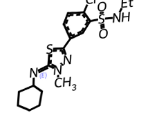 CCNS(=O)(=O)c1cc(-c2nn(C)/c(=N\C3CCCCC3)s2)ccc1Cl